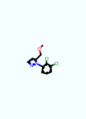 COCc1[c]cnn1-c1cccc(Cl)c1Cl